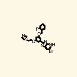 Fc1ccccc1COc1cc(OCCn2ccnc2)cc(-c2nc3cc(Br)c[nH]c-3n2)c1